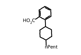 CCCCCC1CCC(c2ccccc2C(=O)O)CC1